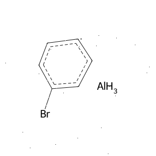 Brc1cc[c]cc1.[AlH3]